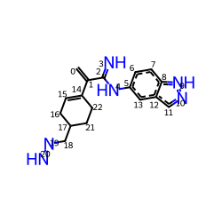 C=C(C(=N)Nc1ccc2[nH]ncc2c1)C1=CCC(CN=N)CC1